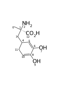 C[C@@](N)(CC1C=C(O)C(O)=CC1)C(=O)O